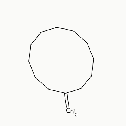 C=C1CCCCCCCCCCC1